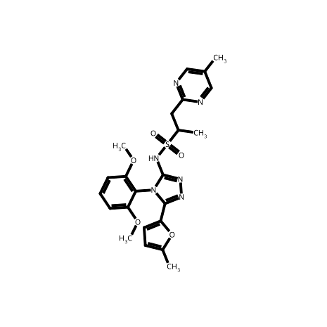 COc1cccc(OC)c1-n1c(NS(=O)(=O)C(C)Cc2ncc(C)cn2)nnc1-c1ccc(C)o1